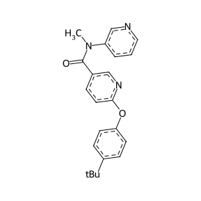 CN(C(=O)c1ccc(Oc2ccc(C(C)(C)C)cc2)nc1)c1cccnc1